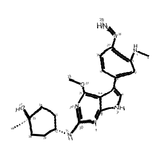 CNc1cc(-c2c[nH]c3nc(N[C@H]4CC[C@](C)(O)CC4)nc(OC)c23)ccc1N=N